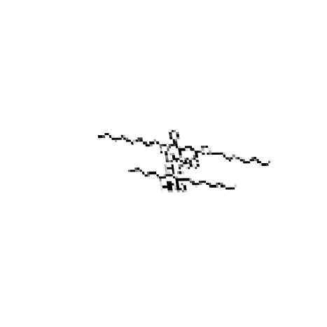 CCCCCCCCOC(=O)CC(C(=O)OCCCCCCCC)S(=O)(=O)O.[CH2]CCCCCCCCCCCCC.[NaH]